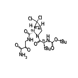 CC(C)(C)OC(=O)N[C@H](C(=O)N1C[C@H]2[C@@H]([C@H]1C(=O)NCC(=O)C(N)=O)C2(Cl)Cl)C(C)(C)C